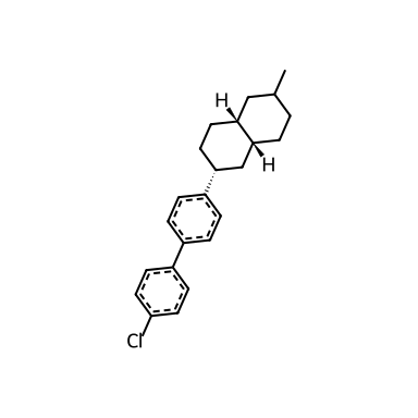 CC1CC[C@@H]2C[C@H](c3ccc(-c4ccc(Cl)cc4)cc3)CC[C@@H]2C1